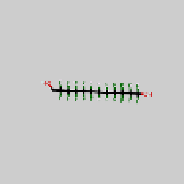 OCC(F)(F)C(F)(F)C(F)(F)C(F)(F)C(F)(F)C(F)(F)C(F)(F)C(F)(F)C(F)(F)C(F)(F)C(O)(F)F